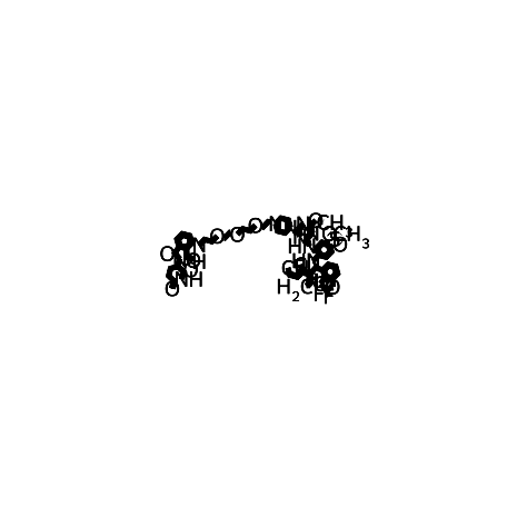 C=N/C(=C(Cl)\C=C/C)[C@@H](Nc1ccc(S(C)(=O)=O)cc1Nc1nc(OC)nc(N2CCN(CCOCCOCCOCCNc3cccc4c3C(=O)N(C3CCC(=O)NC3=O)C4=O)CC2)n1)c1cccc2c1OC(F)(F)O2